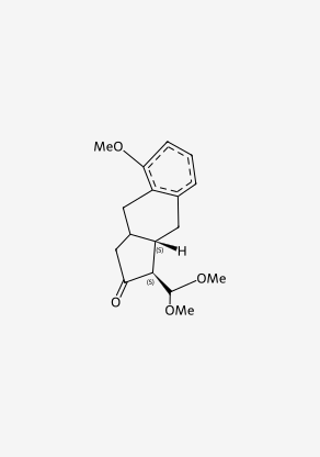 COc1cccc2c1CC1CC(=O)[C@H](C(OC)OC)[C@H]1C2